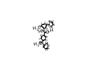 Cc1ccc(-c2ncc[nH]2)cc1NC(=O)c1ccc(N(C)c2ccccn2)cc1